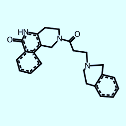 O=C(CCN1CCc2ccccc2C1)N1CCc2[nH]c(=O)c3ccccc3c2C1